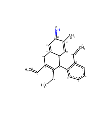 C=CC1=C(CC)C(c2ccccc2C=C)C2C=C(C)C(=N)C=C2C1